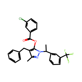 Cc1nn(C(C)c2cccc(C(F)(F)F)c2)c(OC(=O)c2cccc(Cl)c2)c1Cc1ccccc1